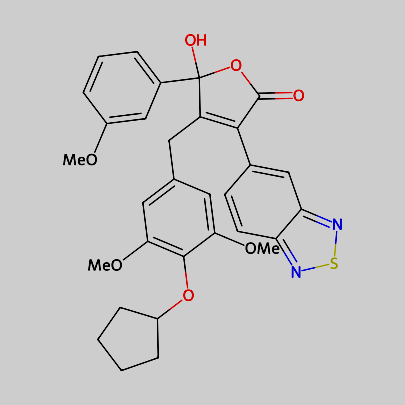 COc1cccc(C2(O)OC(=O)C(c3ccc4nsnc4c3)=C2Cc2cc(OC)c(OC3CCCC3)c(OC)c2)c1